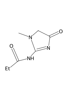 CCC(=O)NC1=NC(=O)CN1C